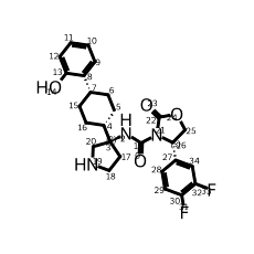 O=C(N[C@@]1([C@H]2CC[C@@H](c3ccccc3O)CC2)CCNC1)N1C(=O)OC[C@@H]1c1ccc(F)c(F)c1